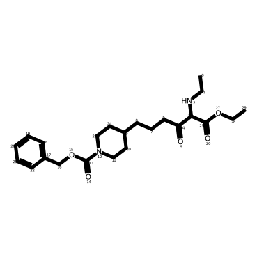 CCNC(C(=O)CCCC1CCN(C(=O)OCc2ccccc2)CC1)C(=O)OCC